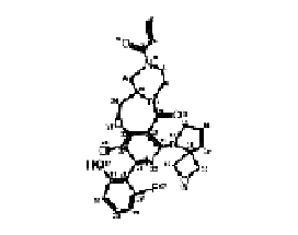 C=CC(=O)N1CCN2C(=O)c3c(N4CCCC45COC5)nc(-c4c(O)cccc4F)c(Cl)c3OCC2C1